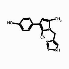 Cc1cc(-c2ccc(C#N)cc2)c(C#N)n1Cc1c[nH]nn1